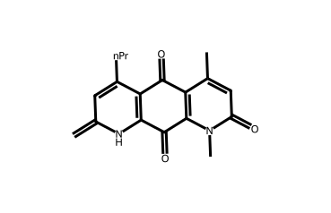 C=C1C=C(CCC)C2=C(N1)C(=O)c1c(c(C)cc(=O)n1C)C2=O